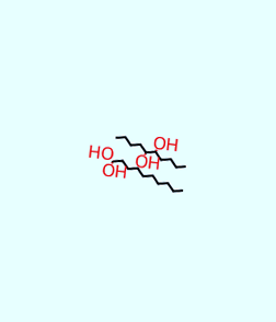 CCCCC(O)C(O)CCCC.CCCCCCCCCC(O)O